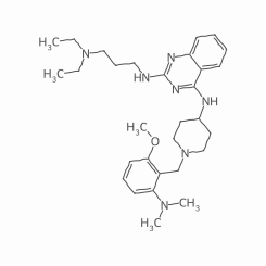 CCN(CC)CCCNc1nc(NC2CCN(Cc3c(OC)cccc3N(C)C)CC2)c2ccccc2n1